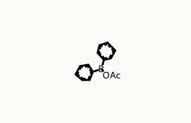 CC(=O)OB(c1ccccc1)c1ccccc1